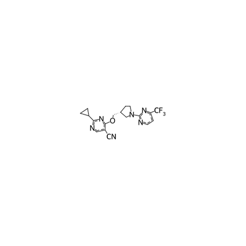 N#Cc1cnc(C2CC2)nc1OC[C@@H]1CCN(c2nccc(C(F)(F)F)n2)C1